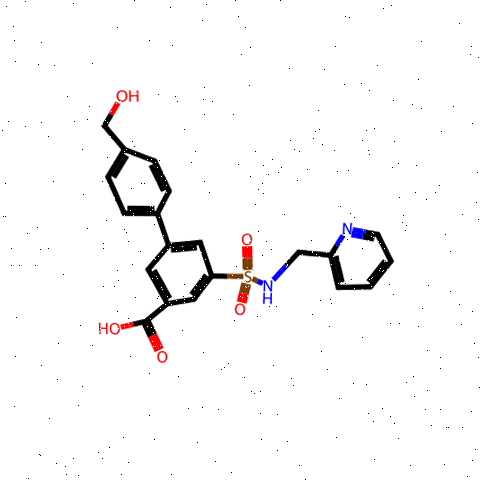 O=C(O)c1cc(-c2ccc(CO)cc2)cc(S(=O)(=O)NCc2ccccn2)c1